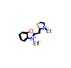 CCN1CCS/C1=C\c1oc2ccccc2[n+]1CC.[I-]